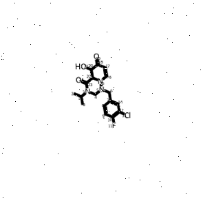 CC(C)N1CN(Cc2ccc(F)c(Cl)c2)N2C=CC(=O)C(O)C2C1=O